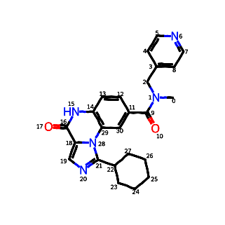 CN(Cc1ccncc1)C(=O)c1ccc2[nH]c(=O)c3cnc(C4CCCCC4)n3c2c1